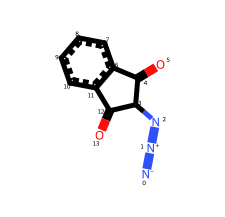 [N-]=[N+]=NC1C(=O)c2ccccc2C1=O